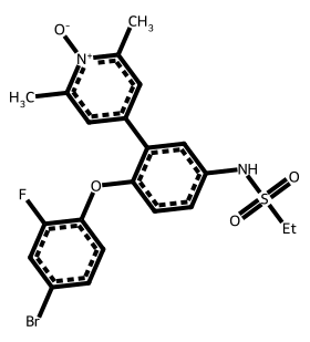 CCS(=O)(=O)Nc1ccc(Oc2ccc(Br)cc2F)c(-c2cc(C)[n+]([O-])c(C)c2)c1